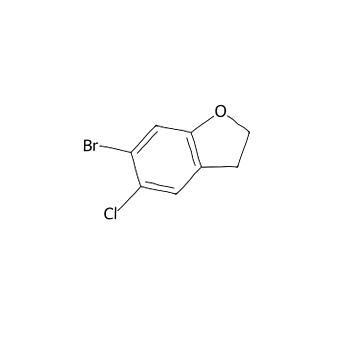 Clc1cc2c(cc1Br)OCC2